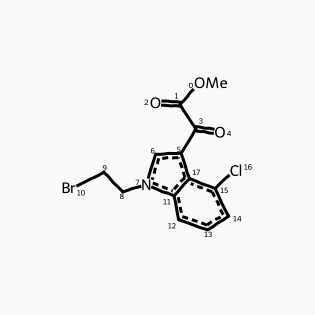 COC(=O)C(=O)c1cn(CCBr)c2cccc(Cl)c12